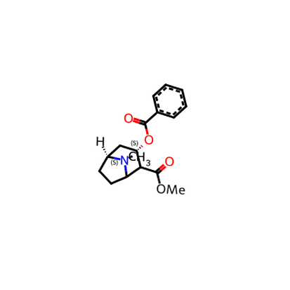 COC(=O)C1C2CC[C@@H](C[C@@H]1OC(=O)c1ccccc1)N2C